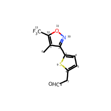 Cc1c(-c2ccc(CC=O)s2)noc1C(F)(F)F